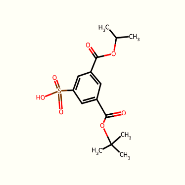 CC(C)OC(=O)c1cc(C(=O)OC(C)(C)C)cc(S(=O)(=O)O)c1